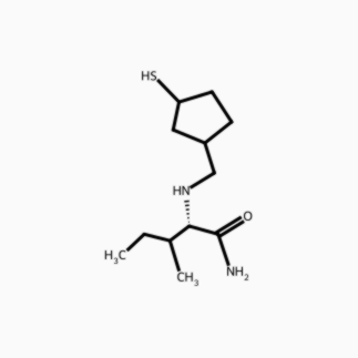 CCC(C)[C@H](NCC1CCC(S)C1)C(N)=O